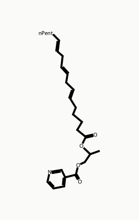 CCCCCC=CCC=CCC=CCCCCC(=O)OC(C)COC(=O)c1cccnc1